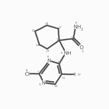 NC(=O)C1(Nc2nc(Cl)ncc2I)CCCCC1